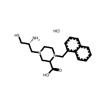 Cl.N[C@@H](CS)CN1CCN(Cc2cccc3ccccc23)C(C(=O)O)C1